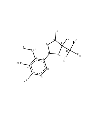 COc1c(C2CC(C)C(C)(C(F)(F)F)C2)ccc(F)c1F